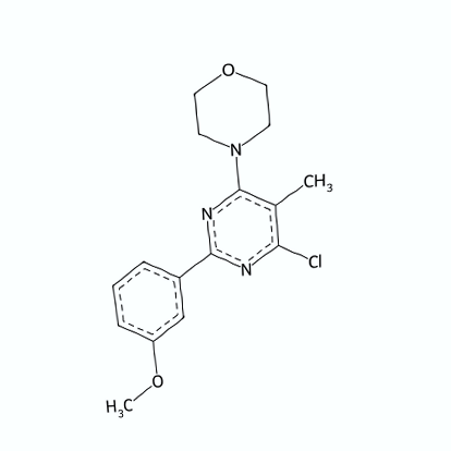 COc1cccc(-c2nc(Cl)c(C)c(N3CCOCC3)n2)c1